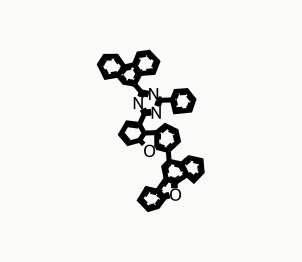 C1=CC2Oc3c(-c4cc5c6ccccc6oc5c5ccccc45)cccc3C2C(c2nc(-c3ccccc3)nc(-c3cc4ccccc4c4ccccc34)n2)=C1